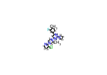 Cc1ccc(-c2cc(N3CCN(c4ncccc4Cl)C[C@H]3C)nc(N3CCCC3)n2)cc1F